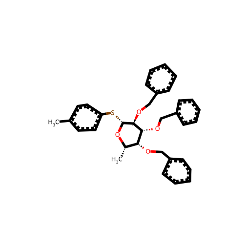 Cc1ccc(S[C@H]2O[C@@H](C)[C@@H](OCc3ccccc3)[C@@H](OCc3ccccc3)[C@@H]2OCc2ccccc2)cc1